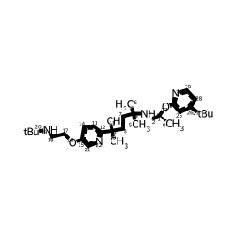 C[C@@H](CNC(C)(C)CCC(C)(C)c1ccc(OCCNC(C)(C)C)cn1)Oc1cc(C(C)(C)C)ccn1